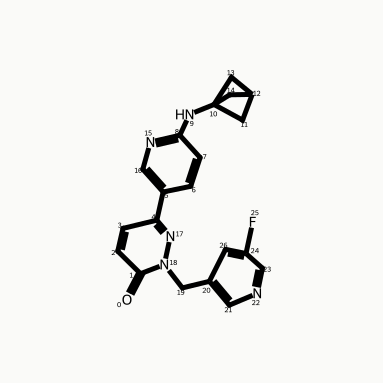 O=c1ccc(-c2ccc(NC34CC(C3)C4)nc2)nn1Cc1cncc(F)c1